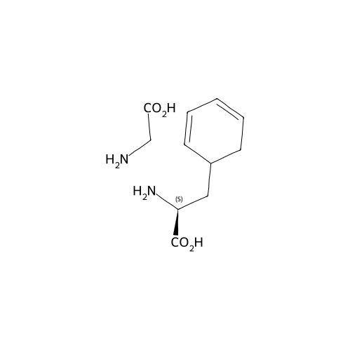 NCC(=O)O.N[C@@H](CC1C=CC=CC1)C(=O)O